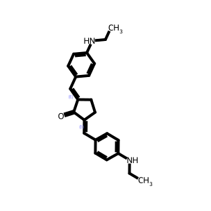 CCNc1ccc(/C=C2\CC/C(=C\c3ccc(NCC)cc3)C2=O)cc1